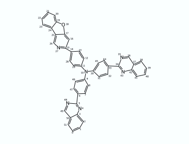 c1ccc2nc(-c3ccc(N(c4ccc(-c5cc6oc7ccccc7c6cn5)cc4)c4ccc(-c5ncc6ccccc6n5)cc4)cc3)ncc2c1